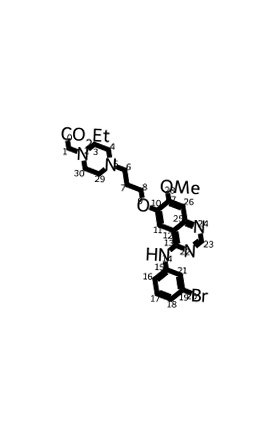 CCOC(=O)CN1CCN(CCCOc2cc3c(Nc4cccc(Br)c4)ncnc3cc2OC)CC1